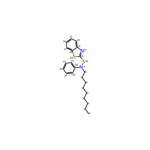 CCCCCCCCCN(Sc1nc2ccccc2s1)c1ccccc1